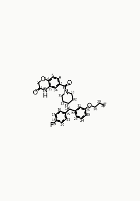 O=C1COc2ccc(C(=O)N3CCC([C@@H](c4ccc(F)cc4)c4cccc(OCCF)c4)CC3)cc2N1